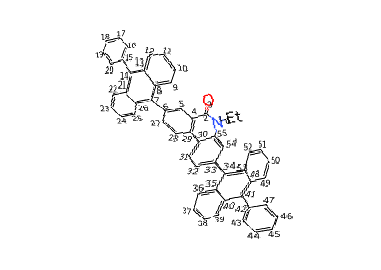 CCn1c(=O)c2cc(-c3c4ccccc4c(-c4ccccc4)c4ccccc34)ccc2c2ccc(-c3c4ccccc4c(-c4ccccc4)c4ccccc34)cc21